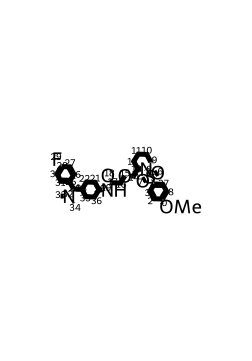 COc1ccc(S(=O)(=O)N2CCCCC2COCC(=O)NC2CCC(C(c3ccc(F)cc3)N(C)C)CC2)cc1